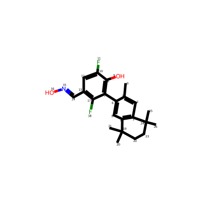 Cc1cc2c(cc1-c1c(O)c(F)cc(/C=N/O)c1F)C(C)(C)CCC2(C)C